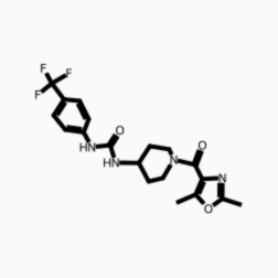 Cc1nc(C(=O)N2CCC(NC(=O)Nc3ccc(C(F)(F)F)cc3)CC2)c(C)o1